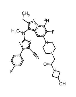 [2H]c1c(F)c(N2CCN(CC(=O)N3CC(O)C3)CC2)cc2c(N(C)c3nc(-c4ccc(F)cc4)c(C#N)s3)c(CC)nn12